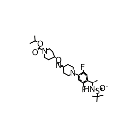 CC(C)OC(=O)N1CCC(ON=C2CCN(c3cc(F)c([C@@H](C)N[S+]([O-])C(C)(C)C)cc3F)CC2)CC1